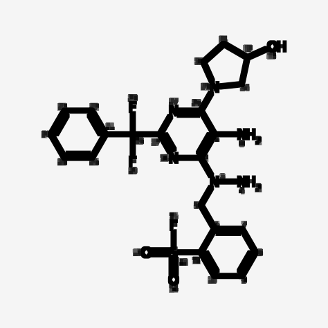 Nc1c(N(N)Cc2ccccc2S(=O)(=O)F)nc(C(F)(F)c2ccccc2)nc1N1CCC(O)C1